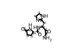 NC1OC1[C@H](CC1=NCCN1)NC(=O)[C@@H]1CCC(=O)N1